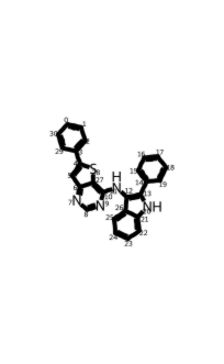 c1ccc(-c2cc3ncnc(Nc4c(-c5ccccc5)[nH]c5ccccc45)c3s2)cc1